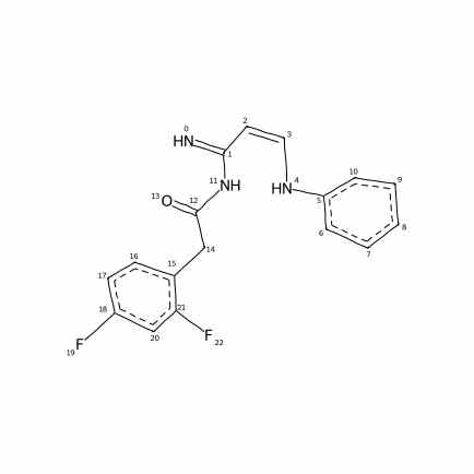 N=C(/C=C\Nc1ccccc1)NC(=O)Cc1ccc(F)cc1F